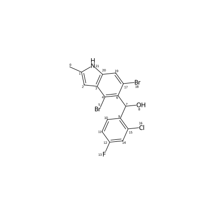 Cc1cc2c(Br)c(C(O)c3ccc(F)cc3Cl)c(Br)cc2[nH]1